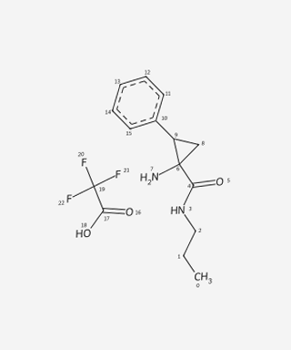 CCCNC(=O)C1(N)CC1c1ccccc1.O=C(O)C(F)(F)F